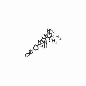 Cc1c(-c2[nH]c3sc(C4CCC(N5CC6(COC6)C5)CC4)nc3c2C(C)C)cn2ncnc2c1C